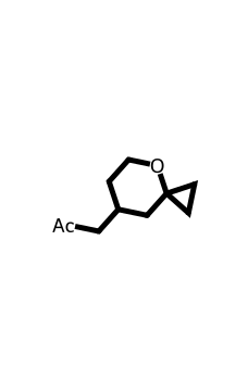 CC(=O)CC1CCOC2(CC2)C1